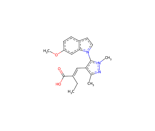 CC/C(=C\c1c(C)nn(C)c1-n1ccc2ccc(OC)cc21)C(=O)O